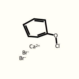 ClOc1ccccc1.[Br-].[Br-].[Ca+2]